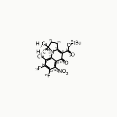 CC(C)(C)OC(=O)c1c2n(c3c(Cl)c(F)c(F)c([N+](=O)[O-])c3c1=O)C(C)(C)CC2